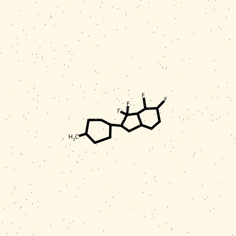 CC1CCC(C2CC3CCC(F)C(F)C3C2(F)F)CC1